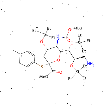 CC[Si](CC)(CC)O[C@@H]([C@@H]1O[C@@](Sc2ccc(C)cc2)(C(=O)OC)C[C@H](O[Si](CC)(CC)CC)[C@H]1NC(=O)OC(C)(C)C)[C@@H](CN)O[Si](CC)(CC)CC